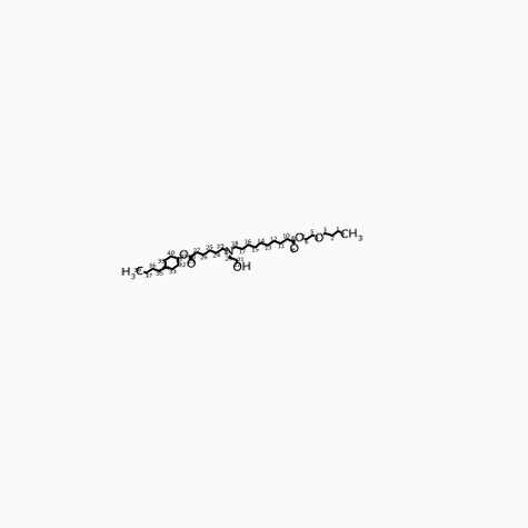 CCCCOCCOC(=O)CCCCCCCCCN(CCO)CCCCCC(=O)OC1CCC(CCCC)CC1